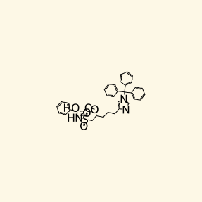 O=C(O)OC(CCCc1cn(C(c2ccccc2)(c2ccccc2)c2ccccc2)cn1)CS(=O)(=O)NCc1ccccc1